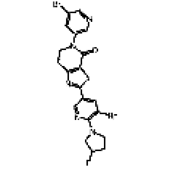 O=C1c2sc(-c3cnc(N4CCC(F)C4)c(Br)c3)nc2CCN1c1cncc(Br)c1